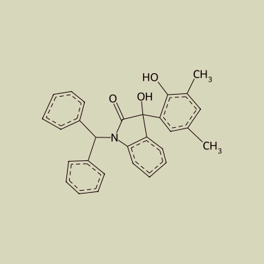 Cc1cc(C)c(O)c(C2(O)C(=O)N(C(c3ccccc3)c3ccccc3)c3ccccc32)c1